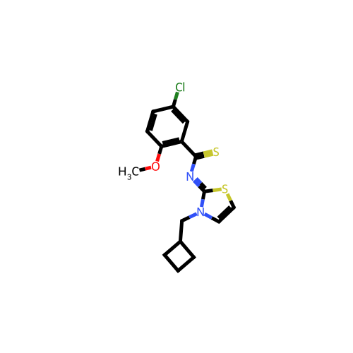 COc1ccc(Cl)cc1C(=S)N=c1sccn1CC1CCC1